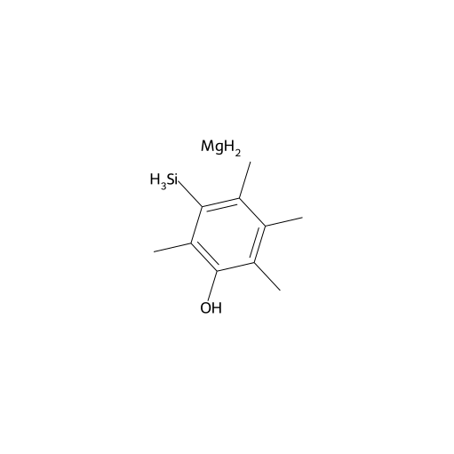 Cc1c(C)c(O)c(C)c([SiH3])c1C.[MgH2]